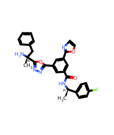 C[C@@H](NC(=O)c1cc(-c2ncco2)cc(-c2nnc([C@](C)(N)Cc3ccccc3)o2)c1)c1ccc(F)cc1